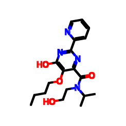 CCCCOc1c(O)nc(-c2ccccn2)nc1C(=O)N(CCO)C(C)C